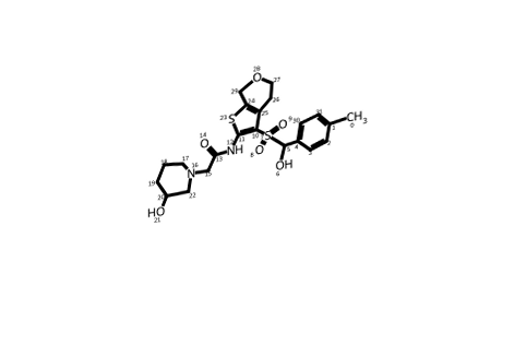 Cc1ccc(C(O)S(=O)(=O)c2c(NC(=O)CN3CCCC(O)C3)sc3c2CCOC3)cc1